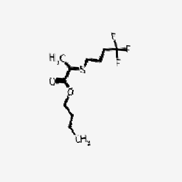 CCCCOC(=O)C(C)SCCCC(F)(F)F